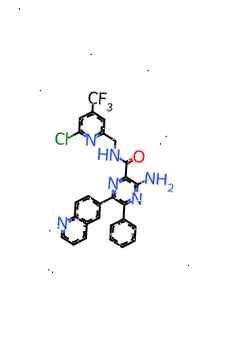 Nc1nc(-c2ccccc2)c(-c2ccc3ncccc3c2)nc1C(=O)NCc1cc(C(F)(F)F)cc(Cl)n1